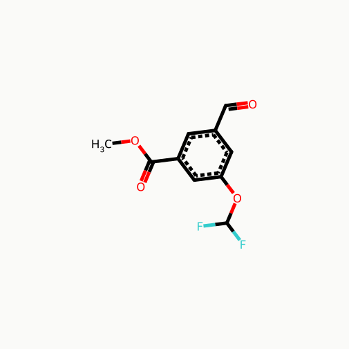 COC(=O)c1cc(C=O)cc(OC(F)F)c1